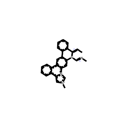 C/C=C1/c2ccccc2-c2cc3c4ccccc4c4c[n+](C)cn4c3cc2N1/C=N/C